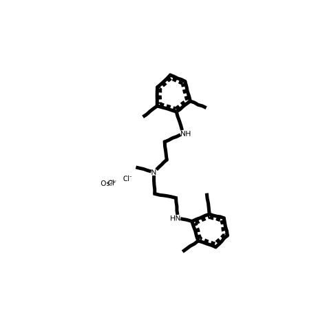 Cc1cccc(C)c1NCCN(C)CCNc1c(C)cccc1C.[Cl-].[Cl-].[Os+2]